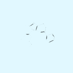 C/C=C(\CCCC)n1c(C)nc2c1C=C(c1ccccc1)CC2